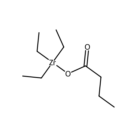 CCCC(=O)[O][Zr]([CH2]C)([CH2]C)[CH2]C